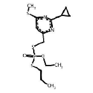 CCCSP(=O)(OCC)SCc1cc(SC)nc(C2CC2)n1